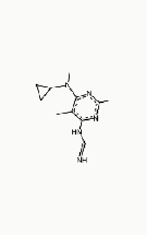 Cc1nc(NC=N)c(C)c(N(C)C2CC2)n1